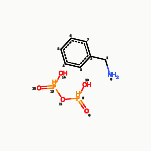 NCc1ccccc1.O=[PH](O)O[PH](=O)O